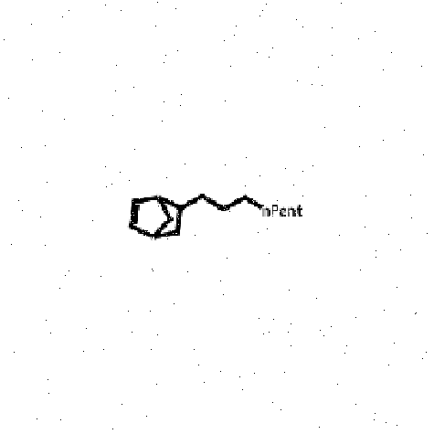 CCCCCCCCC1CC2C=CC1C2